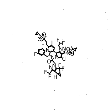 CC1(S(=O)(=O)Nc2nn(CC(F)F)c3c(-c4cc(I)c(CCC(C)(C)S(=O)(=O)C5CC5)nc4[C@H](Cc4cc(F)cc(F)c4)NC(=O)Cn4nc(C(F)F)c5c4C(F)(F)C4C[C@H]54)ccc(Cl)c23)CC1